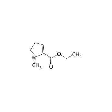 CCOC(=O)C1=CCC[C@H]1C